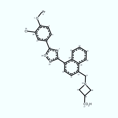 CC(C)Oc1ccc(-c2nc(-c3ccc(CN4CC(C(=O)O)C4)c4ccccc34)no2)cc1Cl